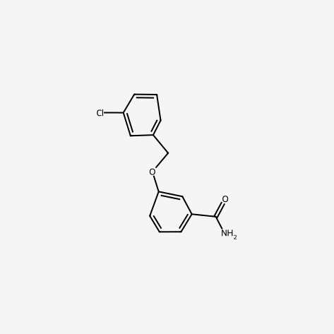 NC(=O)c1cccc(OCc2cccc(Cl)c2)c1